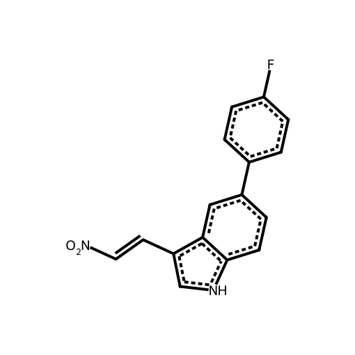 O=[N+]([O-])C=Cc1c[nH]c2ccc(-c3ccc(F)cc3)cc12